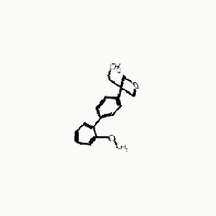 CCC1(c2ccc(-c3ccccc3OC)cc2)COC1